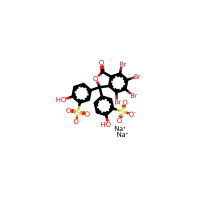 O=C1OC(c2ccc(O)c(S(=O)(=O)[O-])c2)(c2ccc(O)c(S(=O)(=O)[O-])c2)c2c(Br)c(Br)c(Br)c(Br)c21.[Na+].[Na+]